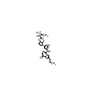 COCc1cn2c(Nc3cc([C@H]4CC[C@@H](OC(=O)NC(C)C)[C@H]4F)[nH]n3)ncc(Cl)c2n1